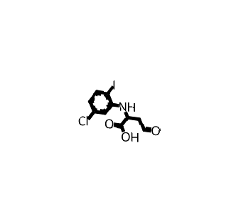 O=CCC(Nc1cc(Cl)ccc1I)C(=O)O